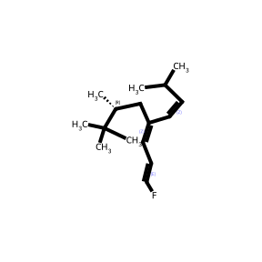 CC(C)\C=C/C(=C\C=C\F)C[C@@H](C)C(C)(C)C